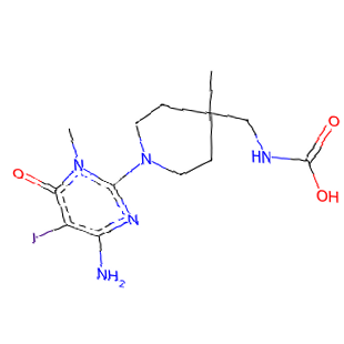 Cn1c(N2CCC(C)(CNC(=O)O)CC2)nc(N)c(I)c1=O